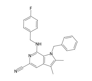 Cc1c(C)n(Cc2ccccc2)c2c(NCc3ccc(F)cc3)nc(C#N)cc12